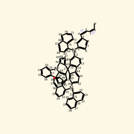 C/C=C\C=C/c1cccc(N(c2ccc3c(c2)C2(c4cc(N(c5cccc6ccccc56)c5cccc6ccccc56)ccc4-3)c3ccccc3-n3c4ccccc4c4cccc2c43)c2cccc3ccccc23)c1